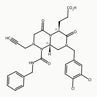 C#CCN1CC(=O)N2[C@@H](CCC(=O)O)C(=O)N(Cc3ccc(Cl)c(Cl)c3)C[C@@H]2N1C(=O)NCc1ccccc1